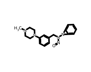 CN1CCN(c2cccc(CN(N=O)N3c4ccccc43)c2)CC1